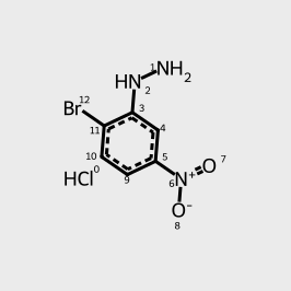 Cl.NNc1cc([N+](=O)[O-])ccc1Br